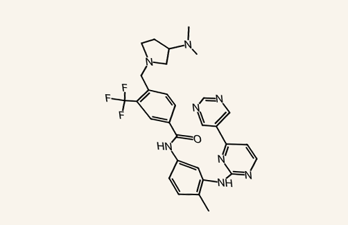 Cc1ccc(NC(=O)c2ccc(CN3CCC(N(C)C)C3)c(C(F)(F)F)c2)cc1Nc1nccc(-c2cncnc2)n1